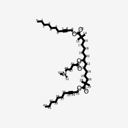 CCCCCCCC#CCOC(=O)C(C)(C)CCCCCC(CCCCCC(C)(C)C(=O)OCC#CCCCCCCC)OC(=O)CCCN(C)C